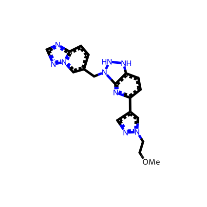 COCCn1cc(-c2ccc3c(n2)N(Cc2ccc4ncnn4c2)NN3)cn1